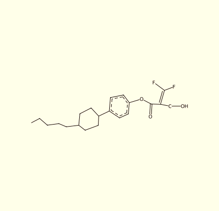 CCCCCC1CCC(c2ccc(OC(=O)C(CO)=C(F)F)cc2)CC1